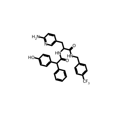 Nc1ccc(CC(NC(=O)C(c2ccccc2)c2ccc(O)cc2)C(=O)NCc2ccc(C(F)(F)F)cc2)cn1